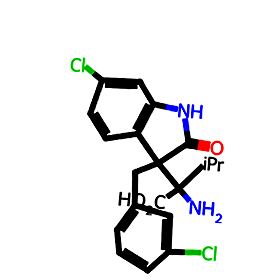 CC(C)C(N)(C(=O)O)C1(Cc2cccc(Cl)c2)C(=O)Nc2cc(Cl)ccc21